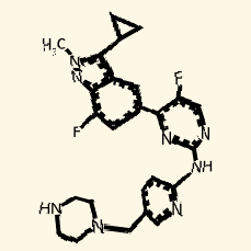 Cn1nc2c(F)cc(-c3nc(Nc4ccc(CN5CCNCC5)cn4)ncc3F)cc2c1C1CC1